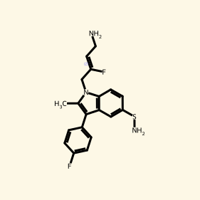 Cc1c(-c2ccc(F)cc2)c2cc(SN)ccc2n1C/C(F)=C/CN